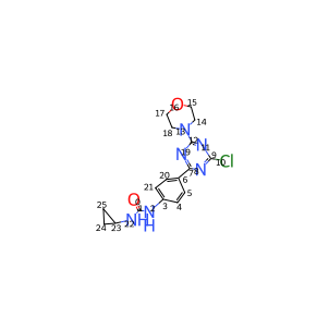 O=C(Nc1ccc(-c2nc(Cl)nc(N3CCOCC3)n2)cc1)NC1CC1